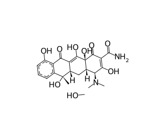 CN(C)[C@@H]1C(O)=C(C(N)=O)C(=O)[C@@]2(O)C(O)=C3C(=O)c4c(O)cccc4[C@@](C)(O)[C@H]3C[C@@H]12.CO